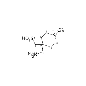 NCC1(CS(=O)(=O)O)CC[S+]([O-])CC1